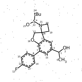 CC(O)c1cc2c(c(-c3ccc(F)cc3)n1)OCC21CCN1[S+]([O-])C(C)(C)C